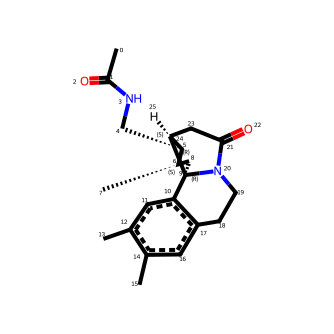 CC(=O)NC[C@@H]1[C@@H](C)C[C@@]23c4cc(C)c(C)cc4CCN2C(=O)C[C@@H]13